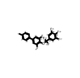 Cc1ccc(-c2cc(F)c(OC(F)(F)c3cc(F)c(F)c(F)c3)c(F)c2)cc1